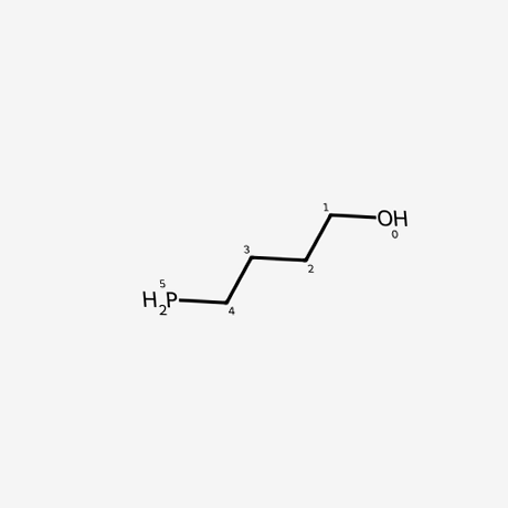 OCCCCP